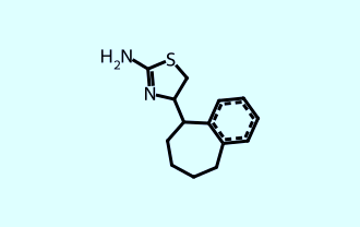 NC1=NC(C2CCCCc3ccccc32)CS1